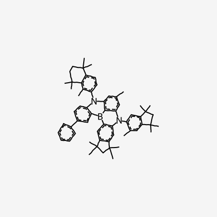 Cc1cc2c3c(c1)N(c1ccc4c(c1C)C(C)(C)CCC4(C)C)c1ccc(-c4ccccc4)cc1B3c1cc3c(cc1N2c1cc2c(cc1C)C(C)(C)CC2(C)C)C(C)(C)CC3(C)C